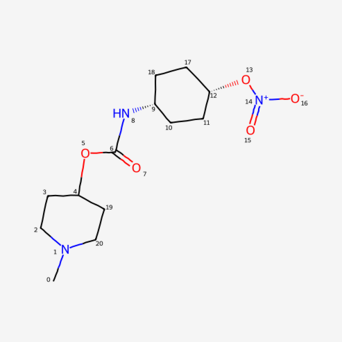 CN1CCC(OC(=O)N[C@H]2CC[C@@H](O[N+](=O)[O-])CC2)CC1